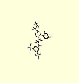 Cc1cc(F)ccc1[C@@H]1CN(C(=O)OC(C)(C)C)CC[C@H]1N(C)C(=O)N(C)c1cc(C(F)(F)F)cc(C(F)(F)F)c1